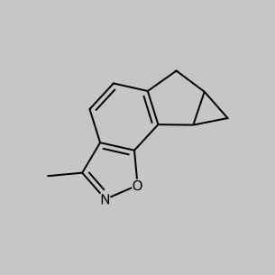 Cc1noc2c3c(ccc12)CC1CC31